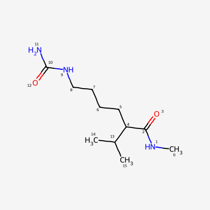 CNC(=O)C(CCCCNC(N)=O)C(C)C